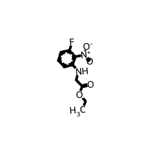 CCOC(=O)CNc1cccc(F)c1[N+](=O)[O-]